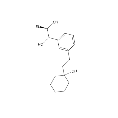 CC[C@@H](O)[C@@H](O)c1cccc(CCC2(O)CCCCC2)c1